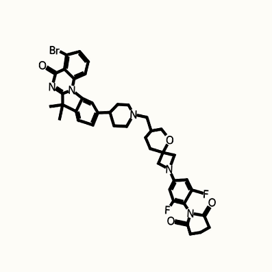 CC1(C)c2ccc(C3CCN(CC4CCC5(CN(c6cc(F)c(N7C(=O)CCCC7=O)c(F)c6)C5)OC4)CC3)cc2-n2c1nc(=O)c1c(Br)cccc12